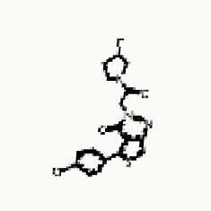 O=C(Cn1cnc2csc(-c3ccc(Cl)cc3)c2c1=O)N1CCC(F)C1